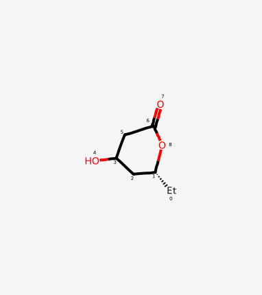 CC[C@@H]1CC(O)CC(=O)O1